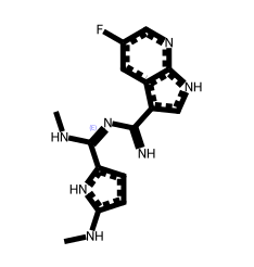 CN/C(=N/C(=N)c1c[nH]c2ncc(F)cc12)c1ccc(NC)[nH]1